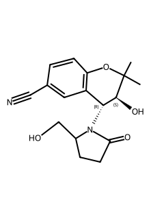 CC1(C)Oc2ccc(C#N)cc2[C@@H](N2C(=O)CCC2CO)[C@@H]1O